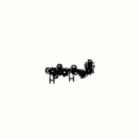 O=C1CCC(N2Cc3ccc(CNC(=O)OCc4cccc(-c5cccc(C(F)(F)F)c5)c4)cc3C2=O)C(=O)N1